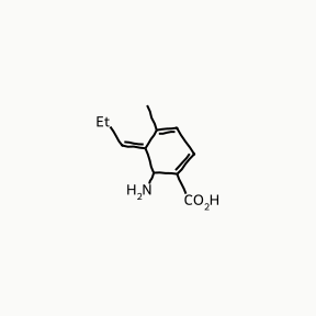 CCC=C1C(C)=CC=C(C(=O)O)C1N